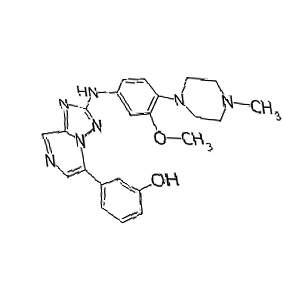 COc1cc(Nc2nc3cncc(-c4cccc(O)c4)n3n2)ccc1N1CCN(C)CC1